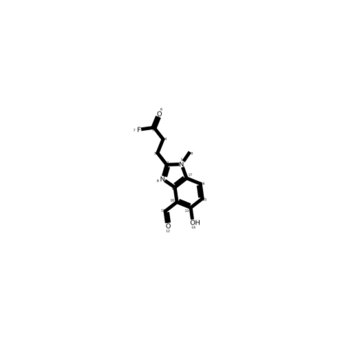 Cn1c(CCC(=O)F)nc2c(C=O)c(O)ccc21